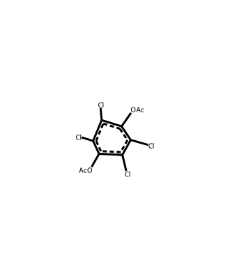 CC(=O)Oc1c(Cl)c(Cl)c(OC(C)=O)c(Cl)c1Cl